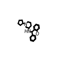 c1ccc2c(c1)Oc1ccccc1C2NC1CCCN(C2CCCC2)C1